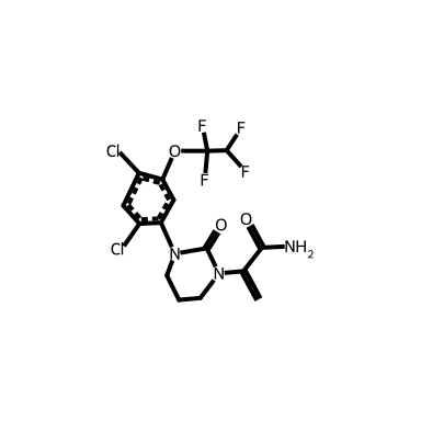 C=C(C(N)=O)N1CCCN(c2cc(OC(F)(F)C(F)F)c(Cl)cc2Cl)C1=O